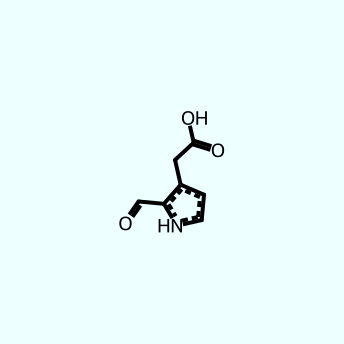 O=Cc1[nH]ccc1CC(=O)O